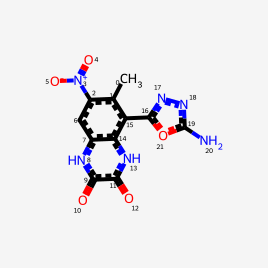 Cc1c([N+](=O)[O-])cc2[nH]c(=O)c(=O)[nH]c2c1-c1nnc(N)o1